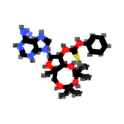 CC(C)[Si]1(C(C)C)OC[C@@H]2O[C@H](n3cnc4c(N)ncnc43)C(OC(=S)Oc3ccccc3)C2O[Si](C(C)C)(C(C)C)O1